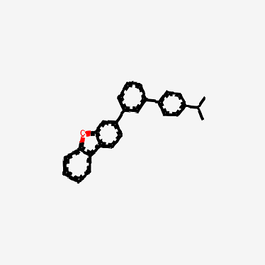 CC(C)c1ccc(-c2cccc(-c3ccc4c(c3)oc3ccccc34)c2)cc1